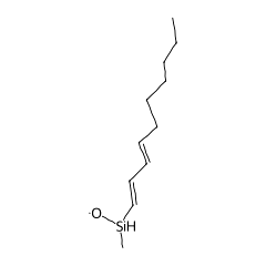 CCCCCCC=CC=C[SiH](C)[O]